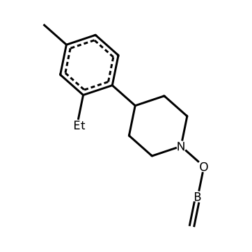 C=BON1CCC(c2ccc(C)cc2CC)CC1